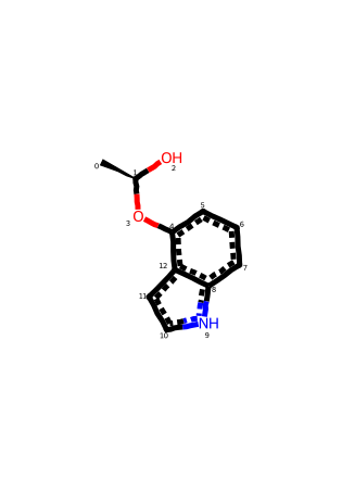 C[C@@H](O)Oc1cccc2[nH]ccc12